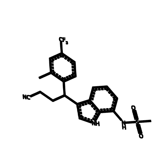 Cc1cc(C(F)(F)F)ccc1C(CCC#N)c1c[nH]c2c(NS(C)(=O)=O)cccc12